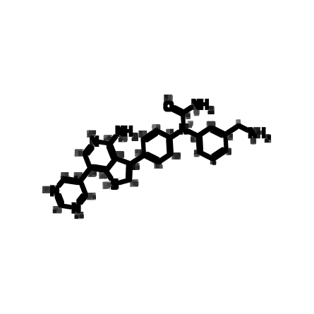 NCc1cccc(N(C(N)=O)c2ccc(-c3csc4c(-c5cncnc5)cnc(N)c34)cc2)c1